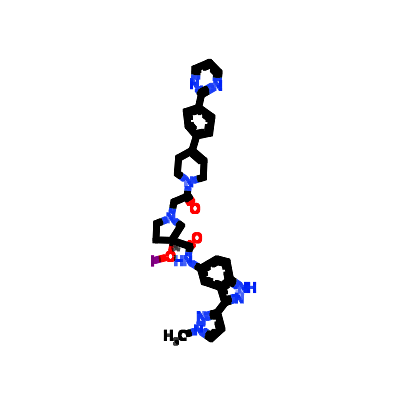 Cn1ccc(-c2n[nH]c3ccc(NC(=O)[C@]4(OI)CCN(CC(=O)N5CC=C(c6ccc(-c7ncccn7)cc6)CC5)C4)cc23)n1